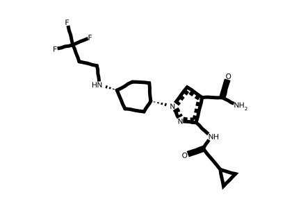 NC(=O)c1cn([C@H]2CC[C@@H](NCCC(F)(F)F)CC2)nc1NC(=O)C1CC1